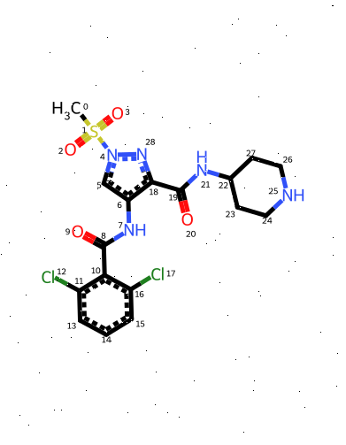 CS(=O)(=O)n1cc(NC(=O)c2c(Cl)cccc2Cl)c(C(=O)NC2CCNCC2)n1